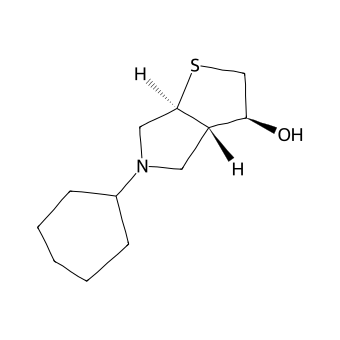 O[C@@H]1CS[C@@H]2CN(C3CCCCC3)C[C@@H]12